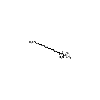 CCCCCCCCCCCCCCCCCCNC(=O)C(N)C(C)C